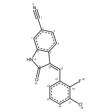 N#Cc1ccc2c(c1)NC(=O)C2=Cc1cccc(Cl)c1F